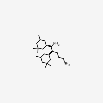 CC1CC(=C(N)C(CCCN)=C2CC(C)CC(C)(C)C2)CC(C)(C)C1